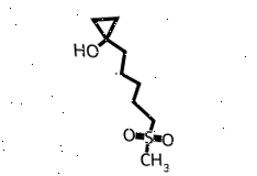 CS(=O)(=O)CCC[CH]CC1(O)CC1